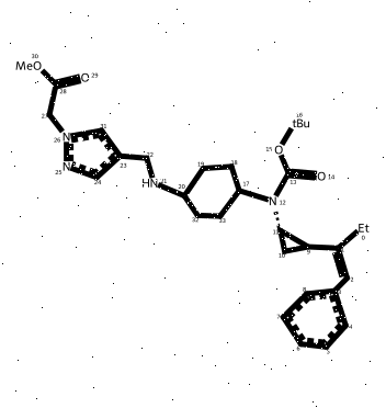 CCC(=Cc1ccccc1)C1C[C@@H]1N(C(=O)OC(C)(C)C)C1CCC(NCc2cnn(CC(=O)OC)c2)CC1